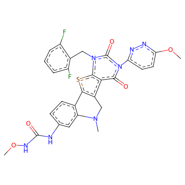 CONC(=O)Nc1ccc2c(c1)N(C)Cc1c-2sc2c1c(=O)n(-c1ccc(OC)nn1)c(=O)n2Cc1c(F)cccc1F